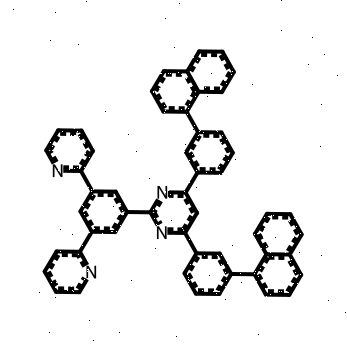 c1ccc(-c2cc(-c3ccccn3)cc(-c3nc(-c4cccc(-c5cccc6ccccc56)c4)cc(-c4cccc(-c5cccc6ccccc56)c4)n3)c2)nc1